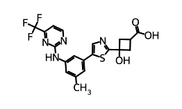 Cc1cc(Nc2nccc(C(F)(F)F)n2)cc(-c2cnc(C3(O)CC(C(=O)O)C3)s2)c1